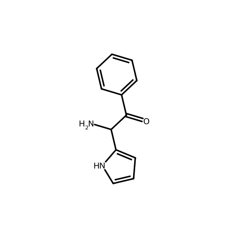 NC(C(=O)c1ccccc1)c1ccc[nH]1